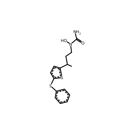 CC(CCN(O)C(N)=O)c1ccc(Sc2ccccc2)s1